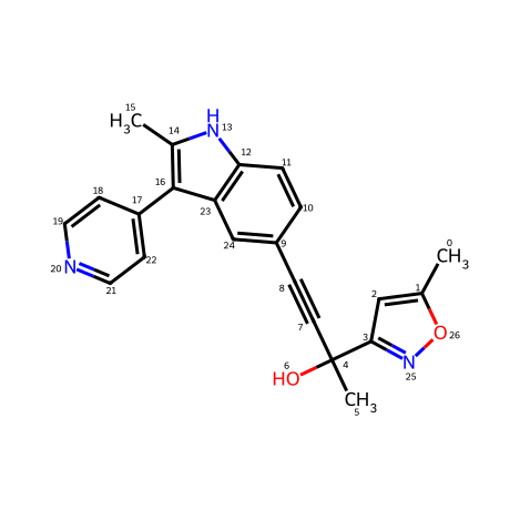 Cc1cc(C(C)(O)C#Cc2ccc3[nH]c(C)c(-c4ccncc4)c3c2)no1